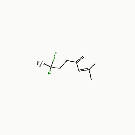 C=C(C=C(C)C)CCC(F)(F)C(F)(F)F